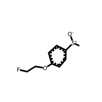 C[S+]([O-])c1ccc(OCCF)cc1